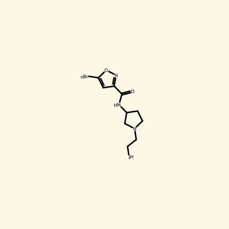 CCCCc1cc(C(=O)NC2CCN(CCC(C)C)C2)no1